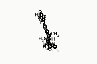 CCc1cc(Nc2ncc(Br)c(Nc3cnc4ccccc4c3P(C)(C)=O)n2)c(OC)cc1N1CCC(N2CCN(CCc3cc(F)c(C4CCC(=O)NC4=O)c(F)c3F)CC2)CC1